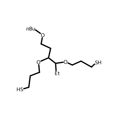 CCCCOCCC(OCCCS)C(CC)OCCCS